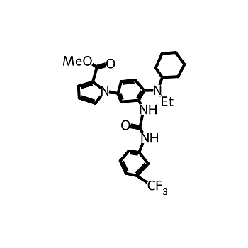 CCN(c1ccc(-n2cccc2C(=O)OC)cc1NC(=O)Nc1cccc(C(F)(F)F)c1)C1CCCCC1